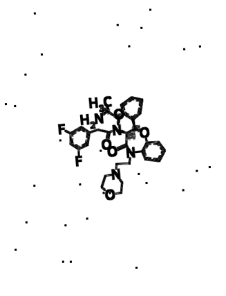 C[C@H](N)C(=O)N(C(=O)Cc1cc(F)cc(F)c1)[C@@H]1C(=O)N(CCN2CCOCC2)c2ccccc2O[C@@H]1c1ccccc1